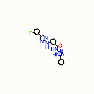 O=C(Nc1nnc(-c2ccccc2)[nH]1)c1cccc(Nc2ncc(-c3cccc(F)c3)cn2)c1